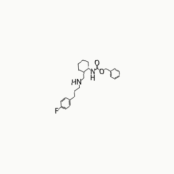 O=C(NC1CCCCC1CNCCCc1ccc(F)cc1)OCc1ccccc1